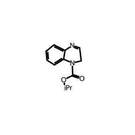 CC(C)OC(=O)N1CC=Nc2ccccc21